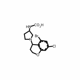 O=C(O)NC1CCN(C2CCOc3cc(Cl)cc(Br)c32)C1